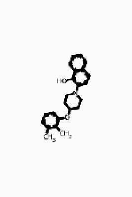 Cc1cccc(OC2CCN(c3ccc4ccccc4c3O)CC2)c1C